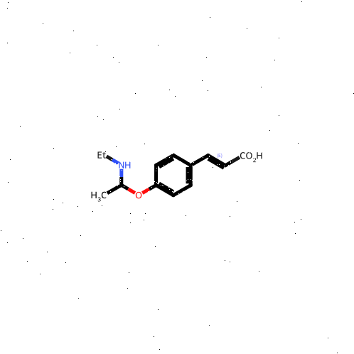 CCNC(C)Oc1ccc(/C=C/C(=O)O)cc1